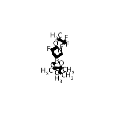 CCC1(C)OB(c2cnc(O[C@@H](C)C(F)(F)F)c(F)c2)OC1(C)C